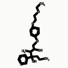 CCCC(O)(c1cccnc1)C(N)C(O)COc1ccc(OCCOCC)cc1